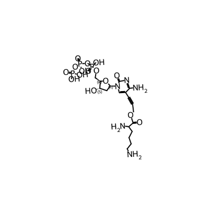 NCCCCC(N)C(=O)OCC#Cc1cn([C@H]2C[C@H](O)[C@@H](COP(=O)(O)OP(=O)(O)OP(=O)(O)O)O2)c(=O)nc1N